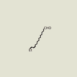 CC/C=C\C=C/CCCCCCCCCCCC=O